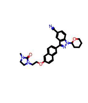 CN1CCN(CCOc2ccc3cc(-c4nn(C5CCCCO5)c5ccc(C#N)cc45)ccc3c2)C1=O